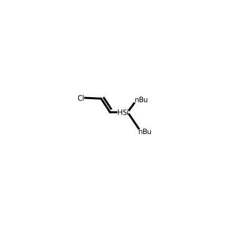 CCCC[SiH](C=CCl)CCCC